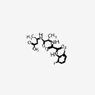 C[C@H](CC(=O)O)NC(=O)[C@H](C)NC(=O)C(=O)Nc1c(F)cccc1F